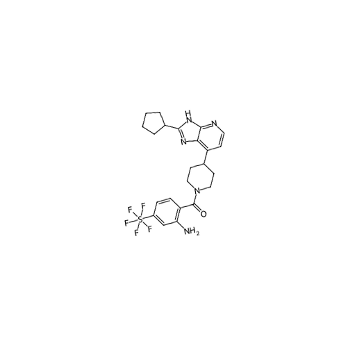 Nc1cc(S(F)(F)(F)(F)F)ccc1C(=O)N1CCC(c2ccnc3[nH]c(C4CCCC4)nc23)CC1